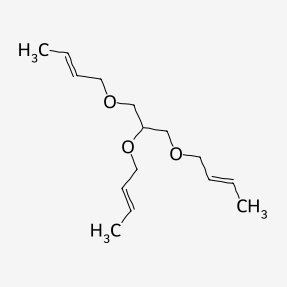 C/C=C/COCC(COC/C=C/C)OC/C=C/C